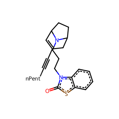 CCCCCC#CC1=CC2CCC(C1)N2CCCn1c(=O)sc2ccccc21